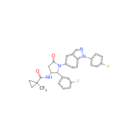 O=C1CC(NC(=O)C2(C(F)(F)F)CC2)C(c2cccc(F)c2)N1c1ccc2c(cnn2-c2ccc(F)cc2)c1